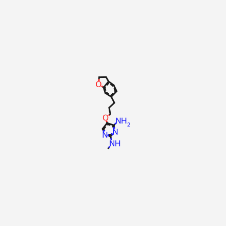 CNc1ncc(OCCCc2ccc3c(c2)OCC3)c(N)n1